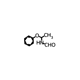 CC(NC=O)Oc1ccccc1